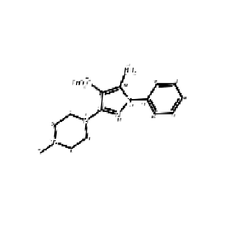 CCOC(=O)c1c(N2CCN(C)CC2)nn(-c2ccccc2)c1N